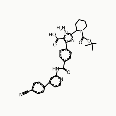 CC(C)(C)OC(=O)N1CCCCC1c1nc(-c2ccc(C(=O)Nc3cc(-c4ccc(C#N)cc4)ccn3)cc2)c(C(=O)O)n1N